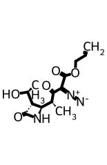 C=CCOC(=O)C(=[N+]=[N-])C(=O)[C@H](C)[C@H]1NC(=O)[C@@H]1[C@H](C)O